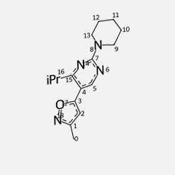 Cc1cc(-c2cnc(N3CCCCC3)nc2C(C)C)on1